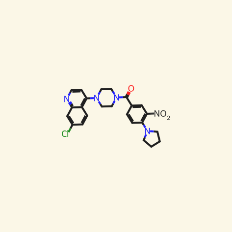 O=C(c1ccc(N2CCCC2)c([N+](=O)[O-])c1)N1CCN(c2ccnc3cc(Cl)ccc23)CC1